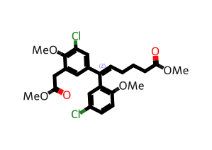 COC(=O)CCC/C=C(/c1cc(Cl)c(OC)c(CC(=O)OC)c1)c1cc(Cl)ccc1OC